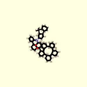 CC1(C)c2ccccc2-c2ccc(N(c3ccc(-c4cccc5c6ccccc6c6ccccc6c6ccccc6c6ccccc6c45)cc3)c3ccccc3-c3ccccc3)cc21